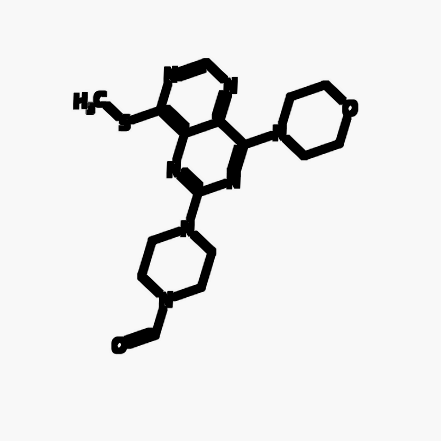 CSc1ncnc2c(N3CCOCC3)nc(N3CCN(C=O)CC3)nc12